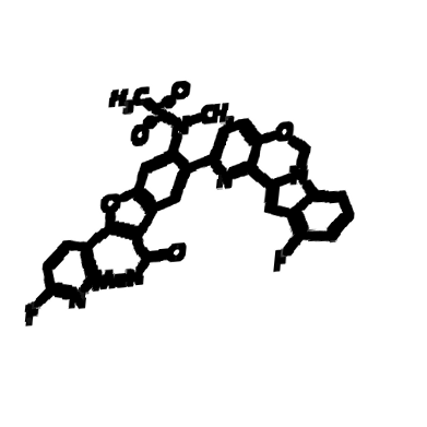 CNC(=O)c1c(-c2ccc(F)nc2)oc2cc(N(C)S(C)(=O)=O)c(-c3ccc4c(n3)-c3cc5c(F)cccc5n3CO4)cc12